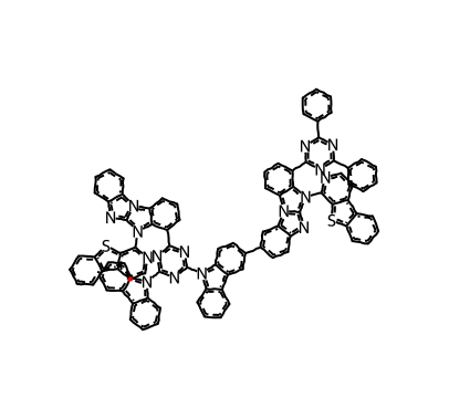 c1ccc(-c2nc(-c3ccccc3)nc(-c3cccc4c3n(-c3nccc5c3sc3ccccc35)c3nc5ccc(-c6ccc7c(c6)c6ccccc6n7-c6nc(-c7cccc8c7n(-c7nccc9c7sc7ccccc79)c7nc9ccccc9n87)nc(-n7c8ccccc8c8ccccc87)n6)cc5n43)n2)cc1